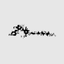 COc1cc(-c2nc3c(NCC4CCNCC4)c(Cl)cnc3[nH]2)c(F)cc1OCCOCCOCCOCCN